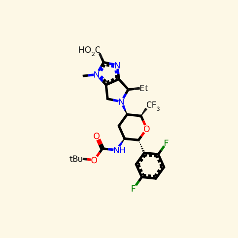 CCC1c2nc(C(=O)O)n(C)c2CN1[C@@H]1C[C@H](NC(=O)OC(C)(C)C)[C@@H](c2cc(F)ccc2F)O[C@@H]1C(F)(F)F